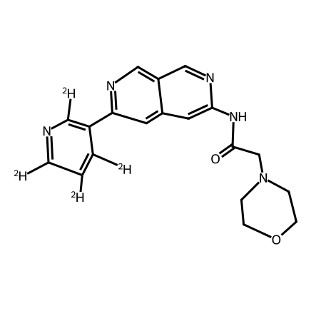 [2H]c1nc([2H])c(-c2cc3cc(NC(=O)CN4CCOCC4)ncc3cn2)c([2H])c1[2H]